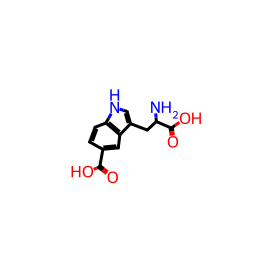 NC(Cc1c[nH]c2ccc(C(=O)O)cc12)C(=O)O